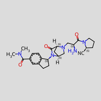 CN(C)C(=O)c1ccc2c(c1)CC[C@@H]2N1C(=O)[C@@H]2C[C@H]1CN2C[C@H](N)C(=O)N1CCC[C@H]1C#N